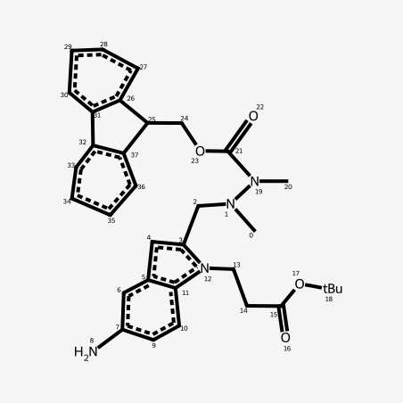 CN(Cc1cc2cc(N)ccc2n1CCC(=O)OC(C)(C)C)N(C)C(=O)OCC1c2ccccc2-c2ccccc21